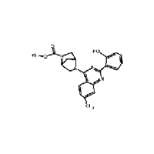 Cc1ccc2c(N3CC4CC3CN4C(=O)OC(C)(C)C)nc(-c3ccccc3O)nc2c1